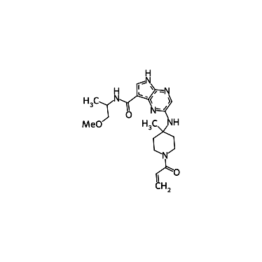 C=CC(=O)N1CCC(C)(Nc2cnc3[nH]cc(C(=O)NC(C)COC)c3n2)CC1